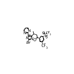 CC(CC(=O)c1cc(C(F)(F)F)cc(S(=O)(=O)C(F)(F)F)c1)c1nc(Br)nn1-c1ncccn1